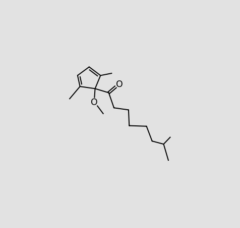 COC1(C(=O)CCCCCC(C)C)C(C)=CC=C1C